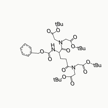 CC(C)(C)OC(=O)CN(CC(=O)OC(C)(C)C)C(=O)CCC(NC(=O)OCc1ccccc1)C(=O)N(CC(=O)OC(C)(C)C)CC(=O)OC(C)(C)C